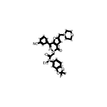 CCN(C(=O)Cn1nc(-c2cccc(C#N)c2)c2oc(CN3CCOCC3)cc2c1=O)c1ccc2c(c1)OC(F)(F)O2